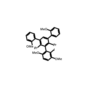 COc1ccccc1-c1cc(-c2ccccc2OC)c(C(C)C)c(-c2c(OC)ccc(OC)c2I)c1C(C)C